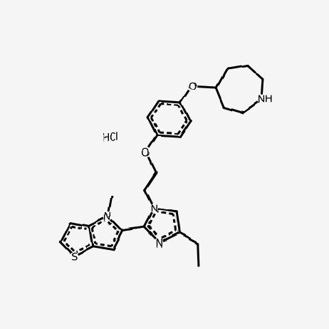 CCc1cn(CCOc2ccc(OC3CCCNCC3)cc2)c(-c2cc3sccc3n2C)n1.Cl